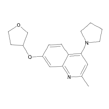 Cc1cc(N2CCCC2)c2ccc(OC3CCOC3)cc2n1